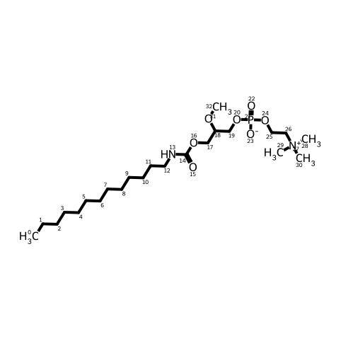 CCCCCCCCCCCCCNC(=O)OCC(COP(=O)([O-])OCC[N+](C)(C)C)OC